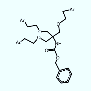 CC(=O)CCOCC(COCCC(C)=O)(COCCC(C)=O)NC(=O)OCc1ccccc1